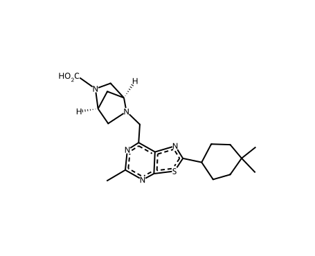 Cc1nc(CN2C[C@@H]3C[C@H]2CN3C(=O)O)c2nc(C3CCC(C)(C)CC3)sc2n1